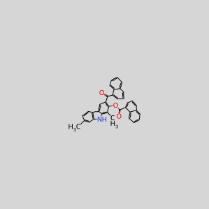 Cc1ccc2c(c1)[nH]c1c(C)c(OC(=O)c3cccc4ccccc34)c(C(=O)c3cccc4ccccc34)cc12